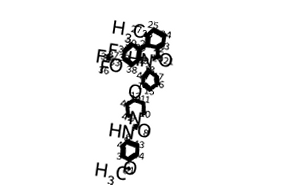 COc1ccc(NC(=O)N2CCC(Oc3cccc(NC(=O)c4cccc(C)c4-c4ccc(OC(F)(F)F)cc4)c3)CC2)cc1